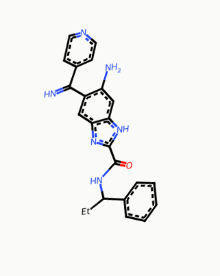 CCC(NC(=O)c1nc2cc(C(=N)c3ccncc3)c(N)cc2[nH]1)c1ccccc1